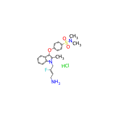 Cc1c(Oc2ccc(S(=O)(=O)N(C)C)cc2)c2ccccc2n1CC(F)=CCN.Cl